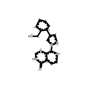 O=c1[nH]cnc2c(-n3cc(-c4ccccc4CO)cn3)nccc12